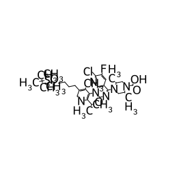 Cc1c(CCCCO[Si](C)(C)C(C)(C)C)cnc(C(C)C)c1-n1c(=O)nc(N2C[C@@H](C)N(C(=O)O)C[C@@H]2C)c2cc(F)c(Cl)nc21